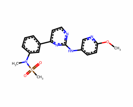 COc1ccc(Nc2nccc(-c3cccc(N(C)S(C)(=O)=O)c3)n2)cn1